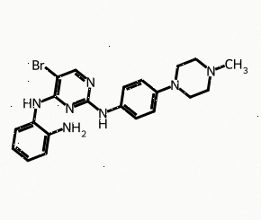 CN1CCN(c2ccc(Nc3ncc(Br)c(Nc4ccccc4N)n3)cc2)CC1